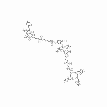 CC(C)(C)OC(=O)CCC(NC(=O)NC(CCCCNC(=O)CCCCCNC(=O)CCc1ccc(O)c(CN(CCN(CC(=O)OC(C)(C)C)Cc2cc(CCC(=O)NCCNC(=O)CN3CCN(CC(=O)OC(C)(C)C)CCN(CC(=O)OC(C)(C)C)CCN(CC(=O)OC(C)(C)C)CC3)ccc2O)CC(=O)OC(C)(C)C)c1)C(=O)OC(C)(C)C)C(=O)OC(C)(C)C